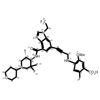 COc1cc(C(=O)O)c(F)cc1NCC#Cc1cc(C(=O)N[C@@H]2[C@@H](C)CN(C3CCOCC3)CC2(F)F)c2ncn(CC(F)(F)F)c2c1